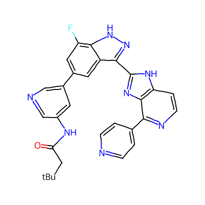 CC(C)(C)CC(=O)Nc1cncc(-c2cc(F)c3[nH]nc(-c4nc5c(-c6ccncc6)nccc5[nH]4)c3c2)c1